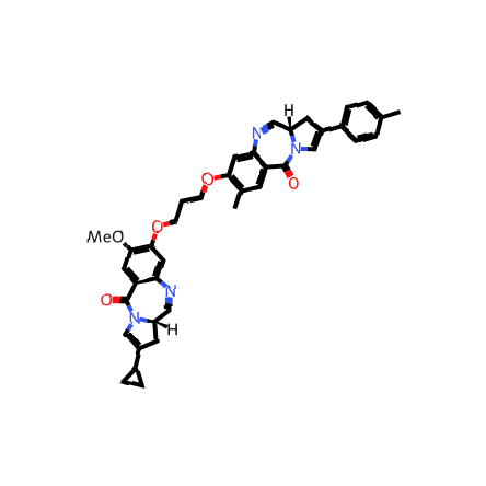 COc1cc2c(cc1OCCCOc1cc3c(cc1C)C(=O)N1C=C(c4ccc(C)cc4)C[C@H]1C=N3)N=C[C@@H]1CC(C3CC3)=CN1C2=O